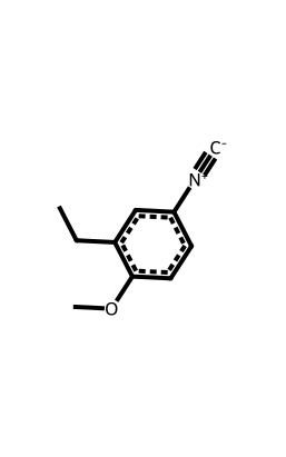 [C-]#[N+]c1ccc(OC)c(CC)c1